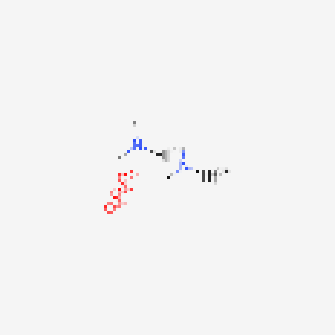 C[N](C)[Hf+3].C[N](C)[Hf+3].[O-2].[O-2].[O-2]